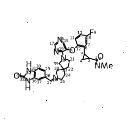 CNC(=O)C1CC1c1cc(F)ccc1Oc1cncnc1N1CCC2(CCN(Cc3ccc4[nH]c(=O)[nH]c4c3)C2)C1